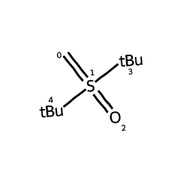 C=S(=O)(C(C)(C)C)C(C)(C)C